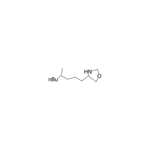 CCCCC(C)CCCC1COCN1